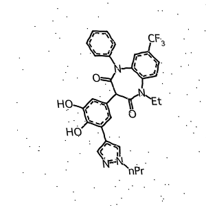 CCCn1cc(-c2cc(C3C(=O)N(CC)c4ccc(C(F)(F)F)cc4N(c4ccccc4)C3=O)cc(O)c2O)cn1